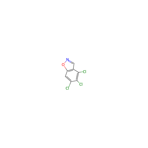 Clc1cc2oncc2c(Cl)c1Cl